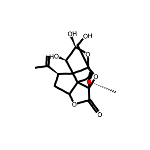 C=C(C)[C@@H]1CC2OC(=O)C34OC5O[C@H](O)[C@H](O)C51C23CC(CO)OC[C@H]4C